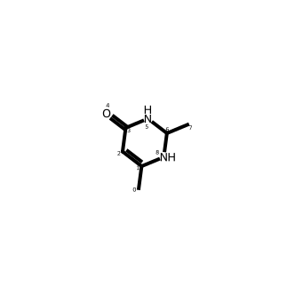 CC1=CC(=O)NC(C)N1